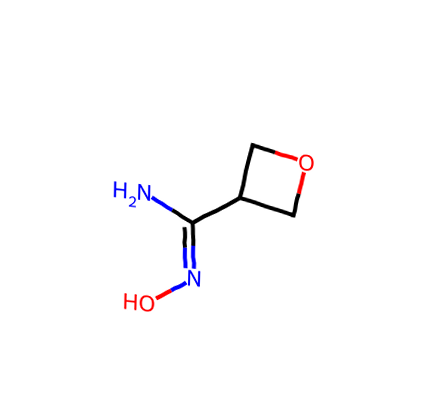 NC(=NO)C1COC1